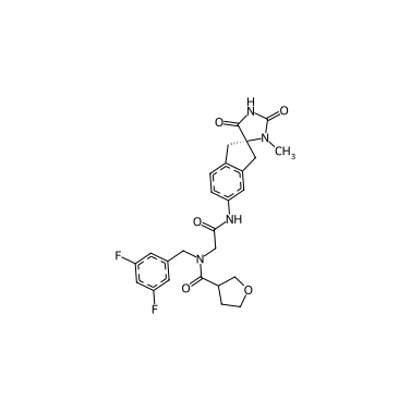 CN1C(=O)NC(=O)[C@@]12Cc1ccc(NC(=O)CN(Cc3cc(F)cc(F)c3)C(=O)C3CCOC3)cc1C2